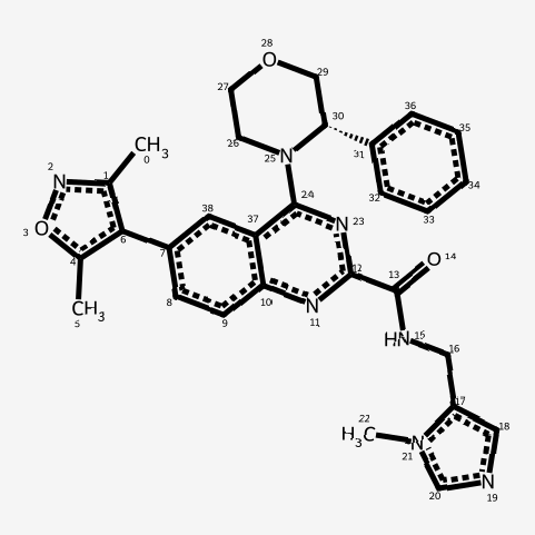 Cc1noc(C)c1-c1ccc2nc(C(=O)NCc3cncn3C)nc(N3CCOC[C@@H]3c3ccccc3)c2c1